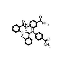 NC(=O)c1ccc(NC(=O)c2ccccc2SSc2ccccc2C(=O)Nc2ccc(C(N)=O)cc2)cc1